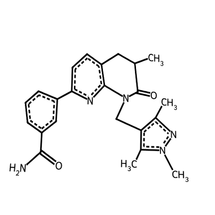 Cc1nn(C)c(C)c1CN1C(=O)C(C)Cc2ccc(-c3cccc(C(N)=O)c3)nc21